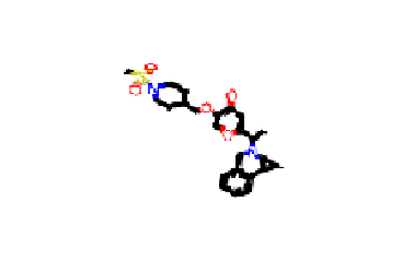 CC(c1cc(=O)c(OCC2CCN(S(C)(=O)=O)CC2)co1)N1Cc2ccccc2C2CC21